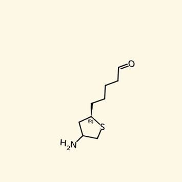 NC1CS[C@H](CCCCC=O)C1